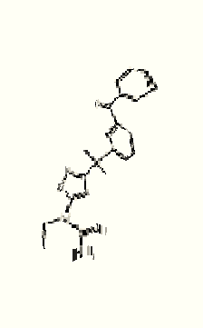 CCN(C(=N)N)c1cc(C(C)(C)c2cccc(C(=O)c3ccccc3)c2)no1